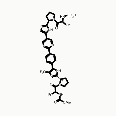 COC(=O)NC(C(=O)N1CCC[C@H]1c1nc(C(F)(F)F)c(-c2ccc(-c3ncc(-c4cnc(C5CCCN5C(=O)C(NC(=O)O)C(C)C)[nH]4)cn3)cc2)[nH]1)C(C)C